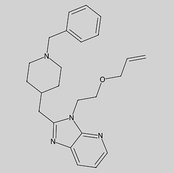 C=CCOCCn1c(CC2CCN(Cc3ccccc3)CC2)nc2cccnc21